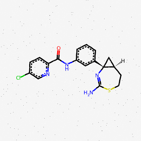 NC1=N[C@]2(c3cccc(NC(=O)c4ccc(Cl)cn4)c3)C[C@H]2CCS1